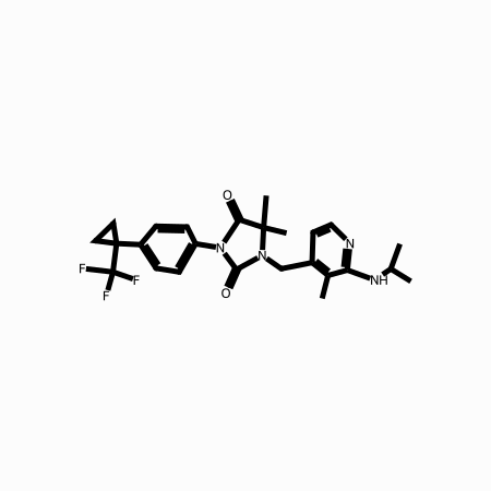 Cc1c(CN2C(=O)N(c3ccc(C4(C(F)(F)F)CC4)cc3)C(=O)C2(C)C)ccnc1NC(C)C